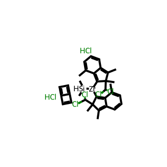 CC1=c2cccc(C)c2=[C]([Zr]([C]2=c3c(C)cccc3=C(C)C2(C)C(Cl)Cl)[SiH](C)C)C1(C)C(Cl)Cl.Cl.Cl.c1cc2ccc1-2